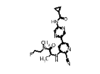 C[C@H](Nc1cc(-c2cnc(NC(=O)C3CC3)cn2)cnc1C#N)C(=O)N(C)CCF